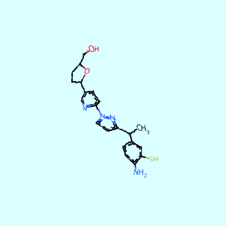 CC(c1ccc(N)c(S)c1)c1ccn(-c2ccc(C3CCC(CO)O3)cn2)n1